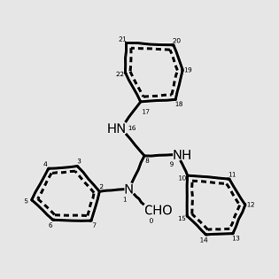 O=CN(c1ccccc1)C(Nc1ccccc1)Nc1ccccc1